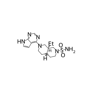 CC[C@]12CN(c3ncnc4[nH]ccc34)CC[C@H]1CCN(S(N)(=O)=O)C2